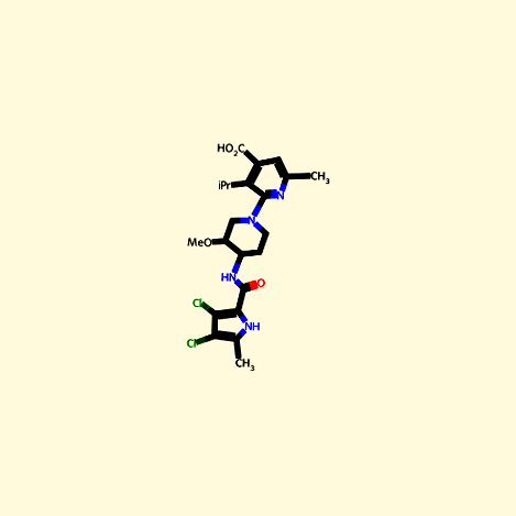 COC1CN(c2nc(C)cc(C(=O)O)c2C(C)C)CCC1NC(=O)c1[nH]c(C)c(Cl)c1Cl